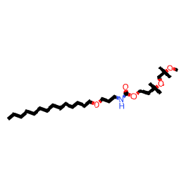 CCCCCCCCCCCCCCOCCCNC(=O)OCCC(C)(C)OCC(C)(C)OC